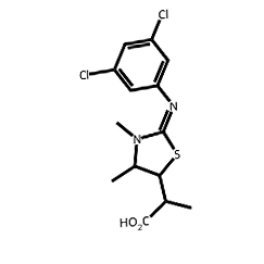 CC(C(=O)O)C1SC(=Nc2cc(Cl)cc(Cl)c2)N(C)C1C